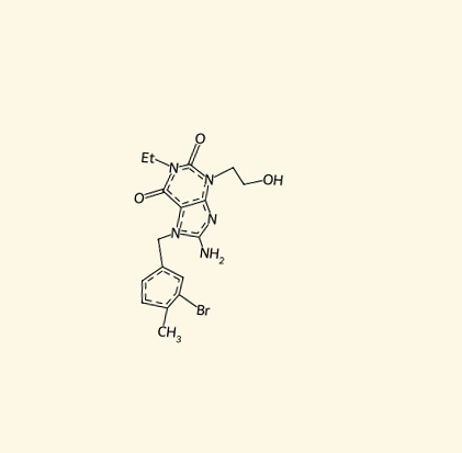 CCn1c(=O)c2c(nc(N)n2Cc2ccc(C)c(Br)c2)n(CCO)c1=O